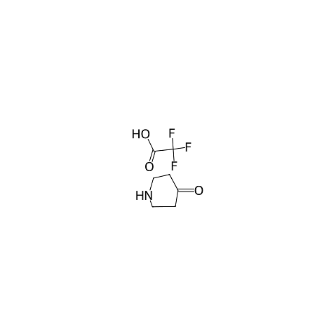 O=C(O)C(F)(F)F.O=C1CCNCC1